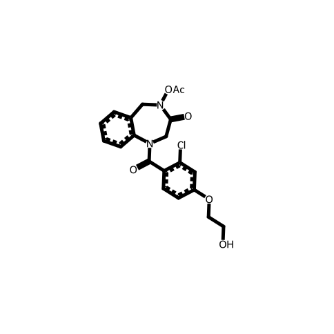 CC(=O)ON1Cc2ccccc2N(C(=O)c2ccc(OCCO)cc2Cl)CC1=O